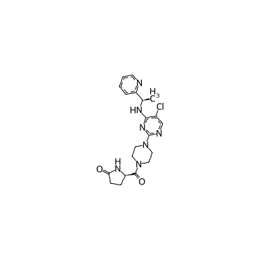 C[C@@H](Nc1nc(N2CCN(C(=O)[C@H]3CCC(=O)N3)CC2)ncc1Cl)c1ccccn1